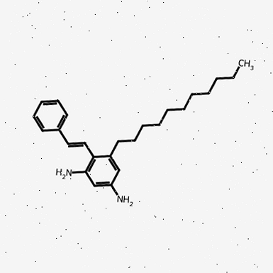 CCCCCCCCCCCc1cc(N)cc(N)c1C=Cc1ccccc1